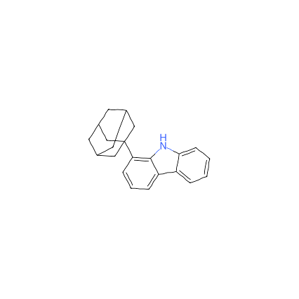 c1ccc2c(c1)[nH]c1c(C34CC5CC(CC(C5)C3)C4)cccc12